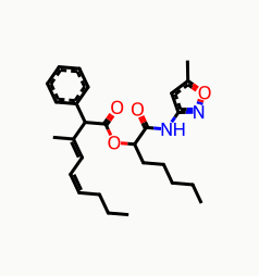 CCC/C=C\C=C(/C)C(C(=O)OC(CCCCC)C(=O)Nc1cc(C)on1)c1ccccc1